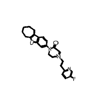 O=C1CN(CCc2ccc(F)cn2)CCN1c1ccc2c3c(oc2c1)CCCCC3